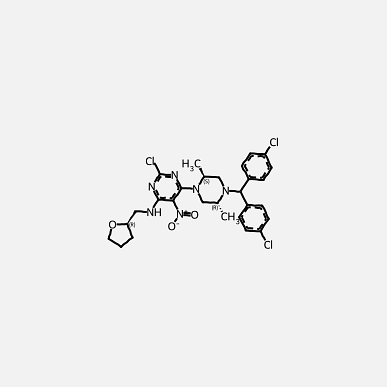 C[C@@H]1CN(c2nc(Cl)nc(NC[C@H]3CCCO3)c2[N+](=O)[O-])[C@@H](C)CN1C(c1ccc(Cl)cc1)c1ccc(Cl)cc1